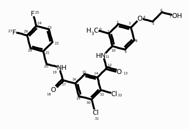 Cc1cc(OCCO)ccc1NC(=O)c1cc(C(=O)NCc2ccc(F)c(F)c2)cc(Cl)c1Cl